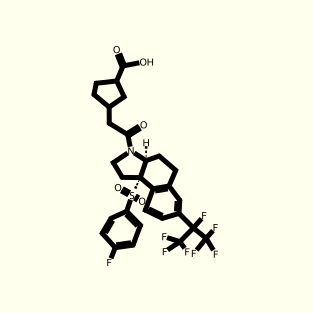 O=C(O)C1CCC(CC(=O)N2CC[C@]3(S(=O)(=O)c4ccc(F)cc4)c4ccc(C(F)(C(F)(F)F)C(F)(F)F)cc4CC[C@H]23)C1